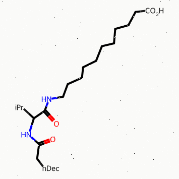 CCCCCCCCCCCC(=O)NC(C(=O)NCCCCCCCCCCC(=O)O)C(C)C